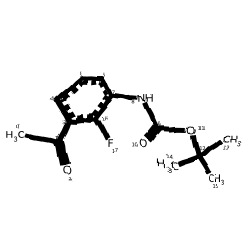 CC(=O)c1cccc(NC(=O)OC(C)(C)C)c1F